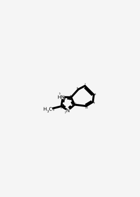 Cc1nc2c([nH]1)CC=CC=C2